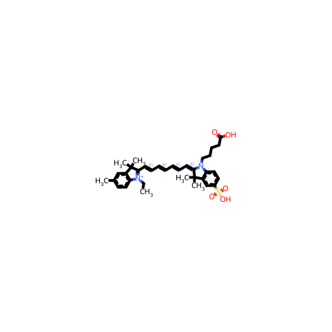 CC[N+]1=C(/C=C/C=C/C=C/C=C2/N(CCCCC(=O)O)c3ccc(S(=O)(=O)O)cc3C2(C)C)C(C)(C)c2cc(C)ccc21